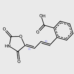 O=C1NC(=O)/C(=C/C=C/c2ccccc2C(=O)O)O1